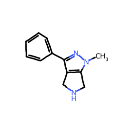 Cn1nc(-c2ccccc2)c2c1CNC2